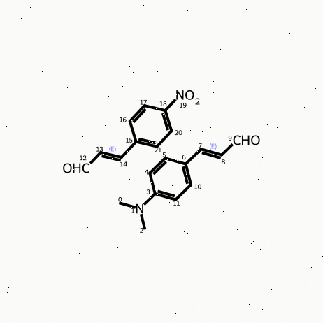 CN(C)c1ccc(/C=C/C=O)cc1.O=C/C=C/c1ccc([N+](=O)[O-])cc1